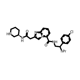 CCCC(CNC(=O)c1cccc2nc(CC(=O)N[C@@H]3CCCNC3)cn12)c1ccc(Cl)cc1